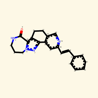 O=C1NCCCn2nc3c(c21)CCc1cnc(/C=C/c2ccccc2)cc1-3